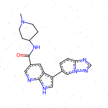 CN1CCC(NC(=O)c2cnc3[nH]cc(-c4ccc5ncnn5c4)c3c2)CC1